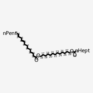 CCCCCC=CCC=CCCCCCCCC(=O)OCCCCCCCCCCCCCOC(=O)CCCCCCC